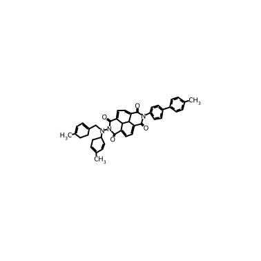 CC1=CCC(N(CC2=CC=C(C)CC2)N2C(=O)C3=CC=C4C(=O)N(c5ccc(-c6ccc(C)cc6)cc5)C(=O)C5=CC=C(C2=O)C3C45)C=C1